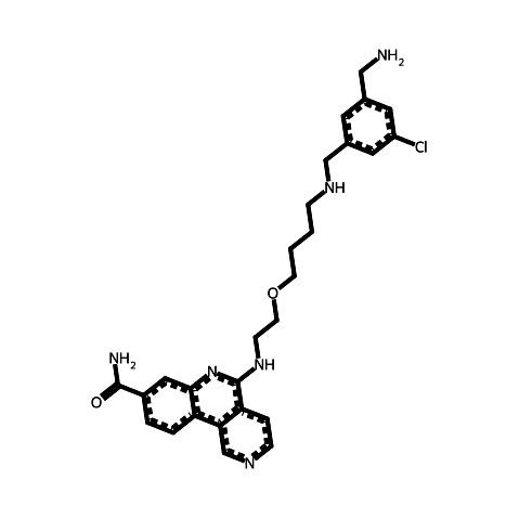 NCc1cc(Cl)cc(CNCCCCOCCNc2nc3cc(C(N)=O)ccc3c3cnccc23)c1